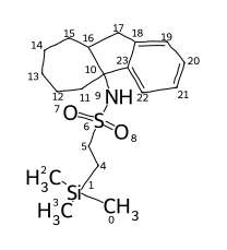 C[Si](C)(C)CCS(=O)(=O)NC12CCCCCC1Cc1ccccc12